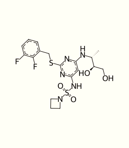 C[C@@H](Nc1cc(NS(=O)(=O)N2CCC2)nc(SCc2cccc(F)c2F)n1)[C@H](O)CO